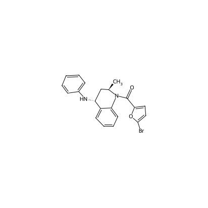 C[C@@H]1C[C@@H](Nc2ccccc2)c2ccccc2N1C(=O)c1ccc(Br)o1